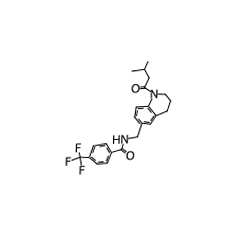 CC(C)CC(=O)N1CCCc2cc(CNC(=O)c3ccc(C(F)(F)F)cc3)ccc21